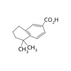 CC1(C)CCCc2cc(C(=O)O)ccc21